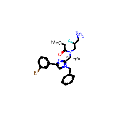 COCC(=O)N(CC(F)CN)[C@@H](c1nc(-c2cccc(Br)c2)cn1Cc1ccccc1)C(C)(C)C